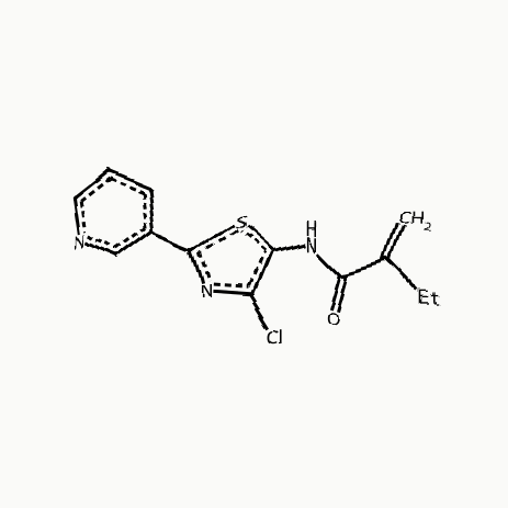 C=C(CC)C(=O)Nc1sc(-c2cccnc2)nc1Cl